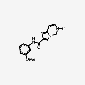 COc1cccc(NC(=O)C2=C[N+]3CN(Cl)C=CC3=N2)c1